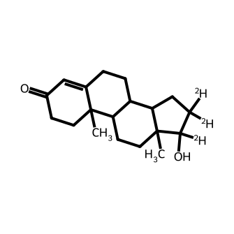 [2H]C1([2H])CC2C3CCC4=CC(=O)CCC4(C)C3CCC2(C)C1([2H])O